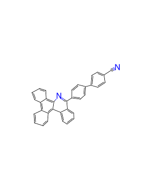 N#Cc1ccc(-c2ccc(-c3nc4c5ccccc5c5ccccc5c4c4ccccc34)cc2)cc1